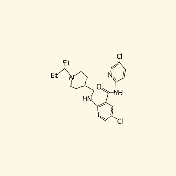 CCC(CC)N1CCC(CNc2ccc(Cl)cc2C(=O)Nc2ccc(Cl)cn2)CC1